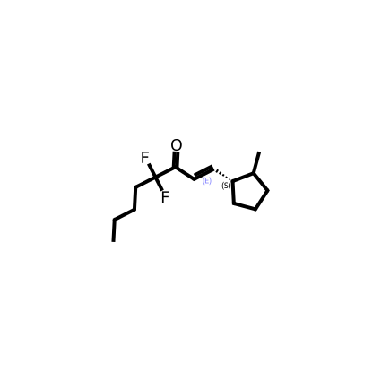 CCCCC(F)(F)C(=O)/C=C/[C@H]1CCCC1C